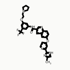 Cc1c[nH]c(-c2cc(Oc3ccc4ncc(C(=O)Nc5cc(OCCN6CCCC6)cc(C(F)(F)F)c5)cc4c3)ccn2)n1